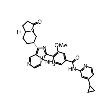 COc1cc(C(=O)Nc2cc(C3CC3)ccn2)ccc1C1=NC([C@@H]2CC[C@H]3CCC(=O)N3C2)=C2C=NC=C[N+]12N